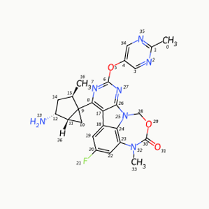 Cc1ncc(Oc2nc(C34C[C@@H]3[C@H](N)C[C@H]4C)c3c4cc(F)cc5c4n(c3n2)COC(=O)N5C)cn1